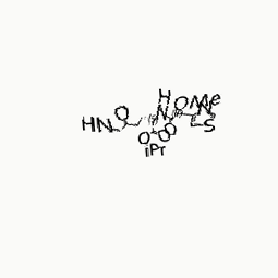 CO[C@@H](C(=O)N[C@@H](CCC(=O)C=N)C(=O)OC(C)C)c1cscn1